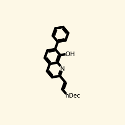 CCCCCCCCCCC=Cc1ccc2ccc(-c3ccccc3)c(O)c2n1